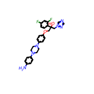 Nc1ccc(N2CCN(c3ccc(OCC(O)(Cn4cncn4)c4ccc(F)cc4F)cc3)CC2)cc1